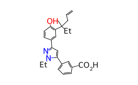 C=CCC(C)(CC)c1cc(-c2cc(-c3cccc(C(=O)O)c3)n(CC)n2)ccc1O